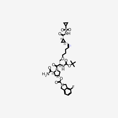 CC(C)(C)OC(=O)N[C@@H](COCCC/C=C\[C@@H]1C[C@@H]1C(=O)NS(=O)(=O)C1CC1)C(=O)N1C[C@H](OC(=O)N2Cc3cccc(F)c3C2)C[C@H]1C(N)=O